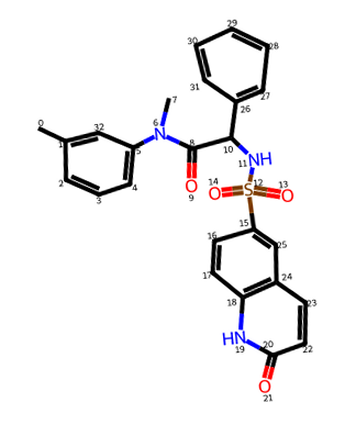 Cc1cccc(N(C)C(=O)C(NS(=O)(=O)c2ccc3[nH]c(=O)ccc3c2)c2ccccc2)c1